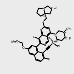 COCOc1cc(-c2ncc3c(N4CC[C@@H](F)[C@H](O)C4)nc(OC[C@@]45CCCN4C[C@H](F)C5)nc3c2F)c2c(C#C[Si](C(C)C)(C(C)C)C(C)C)c(F)ccc2c1